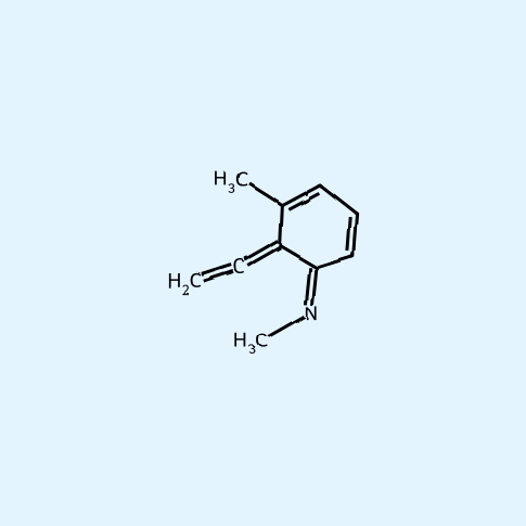 C=C=C1C(C)=CC=C/C1=N/C